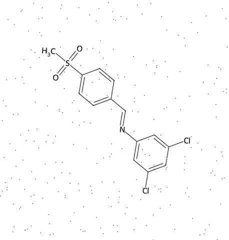 CS(=O)(=O)c1ccc(C=Nc2cc(Cl)cc(Cl)c2)cc1